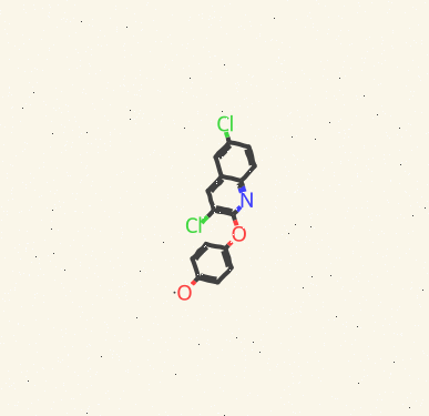 [O]c1ccc(Oc2nc3ccc(Cl)cc3cc2Cl)cc1